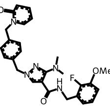 COc1cccc(CNC(=O)c2cn(Cc3ccc(Cn4ccccc4=O)cc3)nc2N(C)C)c1F